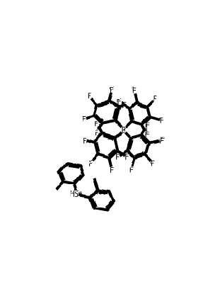 Cc1ccccc1[SH+]c1ccccc1C.Fc1c(F)c(F)c([B-](c2c(F)c(F)c(F)c(F)c2F)(c2c(F)c(F)c(F)c(F)c2F)c2c(F)c(F)c(F)c(F)c2F)c(F)c1F